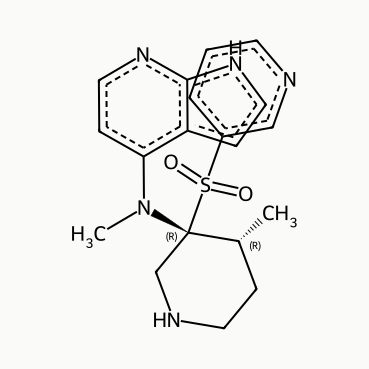 C[C@@H]1CCNC[C@]1(N(C)c1ccnc2[nH]ccc12)S(=O)(=O)c1cccnc1